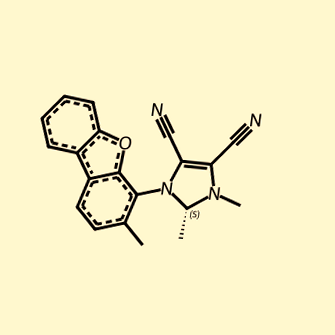 Cc1ccc2c(oc3ccccc32)c1N1C(C#N)=C(C#N)N(C)[C@@H]1C